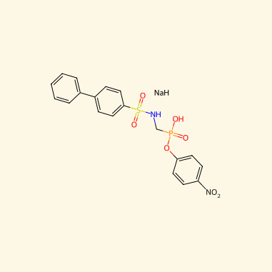 O=[N+]([O-])c1ccc(OP(=O)(O)CNS(=O)(=O)c2ccc(-c3ccccc3)cc2)cc1.[NaH]